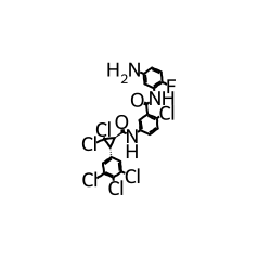 Nc1ccc(F)c(NC(=O)c2cc(NC(=O)[C@H]3[C@H](c4cc(Cl)c(Cl)c(Cl)c4)C3(Cl)Cl)ccc2Cl)c1